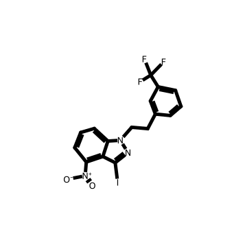 O=[N+]([O-])c1cccc2c1c(I)nn2CCc1cccc(C(F)(F)F)c1